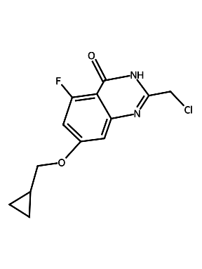 O=c1[nH]c(CCl)nc2cc(OCC3CC3)cc(F)c12